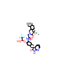 CNCc1ccccc1CN(CC(=O)Nc1ccc2c(c1)C[C@@]1(C2)C(=O)Nc2ncccc21)C(=O)C(C)(C)C(F)(F)F.O=C(O)C(F)(F)F